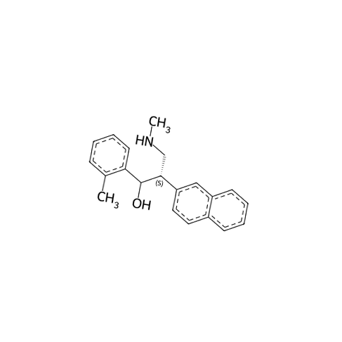 CNC[C@H](c1ccc2ccccc2c1)C(O)c1ccccc1C